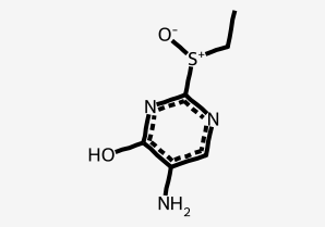 CC[S+]([O-])c1ncc(N)c(O)n1